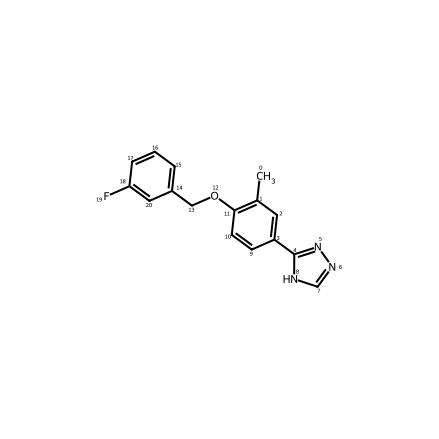 Cc1cc(-c2nnc[nH]2)ccc1OCc1cccc(F)c1